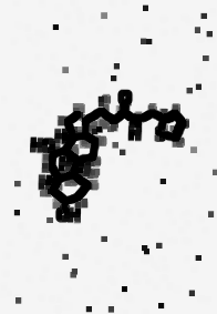 C[C@H](CC(=O)NCc1cccs1)[C@H]1CC[C@H]2[C@@H]3[C@H](O)C[C@@H]4C[C@H](O)CC[C@]4(C)[C@H]3CC[C@]12C